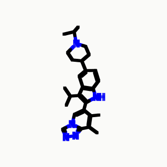 Cc1c(-c2[nH]c3ccc(C4CCN(C(C)C)CC4)cc3c2C(C)C)cn2cnnc2c1C